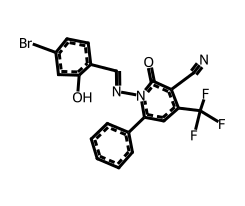 N#Cc1c(C(F)(F)F)cc(-c2ccccc2)n(N=Cc2ccc(Br)cc2O)c1=O